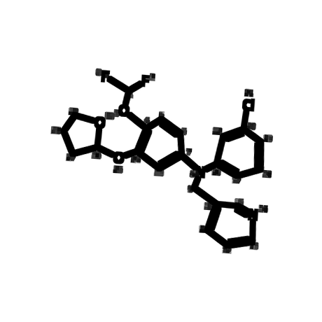 FC(F)Oc1ccc(N(Cc2cccnc2)c2cccc(Cl)c2)cc1OC1CCCO1